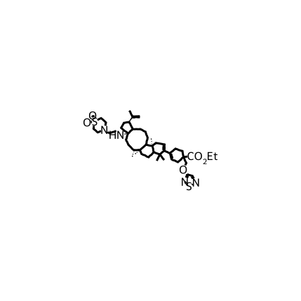 C=C(C)[C@@H]1CC[C@]2(NCCN3CCS(=O)(=O)CC3)CC[C@@H](C)[C@]3(C)CCC4C(C)(C)C(C5=CCC(COc6cnsn6)(C(=O)OCC)CC5)=CC[C@]4(C)C3CCCC12